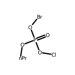 CCCOP(=O)(OCl)OBr